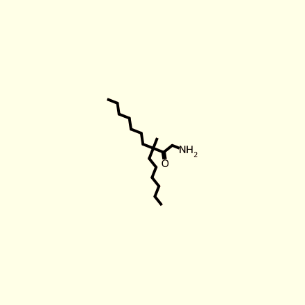 CCCCCCCC(C)(CCCCCC)C(=O)CN